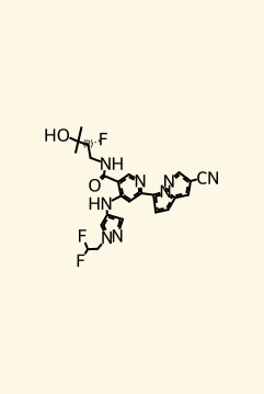 CC(C)(O)[C@H](F)CNC(=O)c1cnc(-c2ccc3cc(C#N)cnn23)cc1Nc1cnn(CC(F)F)c1